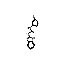 O=C(Nc1cccc(Cl)c1)Nc1nc2ccccc2[nH]1